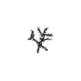 CCCC#CC1=C(c2cc(CCCCCC)c(CCCCCC)c(CCCCCC)c2)[N+](=[N-])C(c2cc(CCCCCC)c(CCCCCC)c(CCCCCC)c2)=C1.CCC[CH2][Ni][CH2]CCC